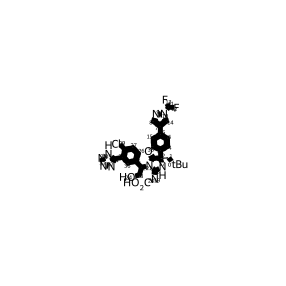 CC(C)(C)C[C@]1(c2ccc(-c3cnn(C(F)F)c3)cc2)NC(=NC(=O)O)N(C(CO)c2ccc(Cl)c(-c3nnn[nH]3)c2)C1=O